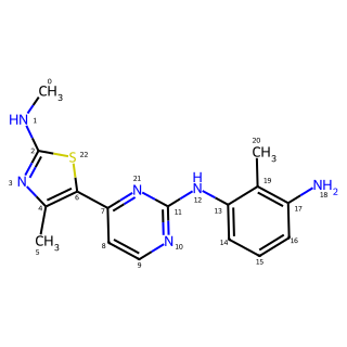 CNc1nc(C)c(-c2ccnc(Nc3cccc(N)c3C)n2)s1